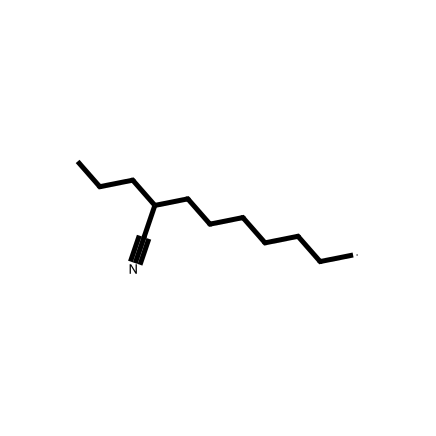 [CH2]CCCCCCC(C#N)CCC